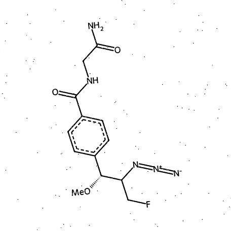 CO[C@H](c1ccc(C(=O)NCC(N)=O)cc1)C(CF)N=[N+]=[N-]